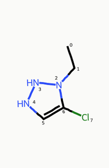 CCN1NNC=C1Cl